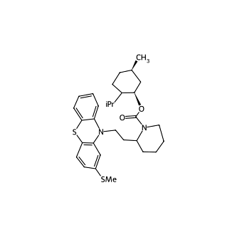 CSc1ccc2c(c1)N(CCC1CCCCN1C(=O)O[C@@H]1C[C@H](C)CCC1C(C)C)c1ccccc1S2